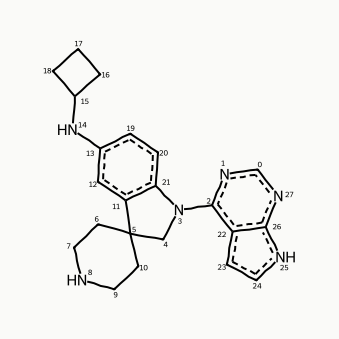 c1nc(N2CC3(CCNCC3)c3cc(NC4CCC4)ccc32)c2cc[nH]c2n1